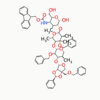 CC1[C@@H](NC(=O)OCC2c3ccccc3-c3ccccc32)C(CO)O[C@H](O)[C@@H]1O[C@@H]1OC(C)[C@H](O[C@@H]2OC[C@@H](C)C(O[C@@H]3OC[C@]4(COCc5ccccc5)O[C@@H](c5ccccc5)OC34)[C@H]2OCc2ccccc2)C(C)(OCc2ccccc2)[C@@H]1C